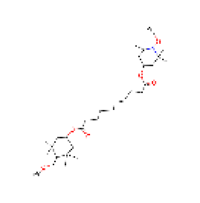 CC(C)OCC1C(C)(C)CC(OC(=O)CCCCCCCCC(=O)OC2CC(C)(C)N(OC(C)C)C(C)(C)C2)CC1(C)C